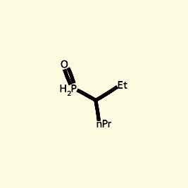 CCCC(CC)[PH2]=O